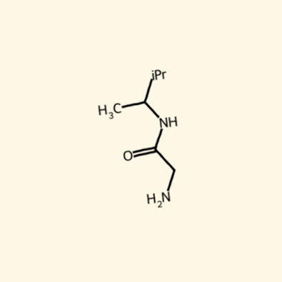 CC(C)C(C)NC(=O)CN